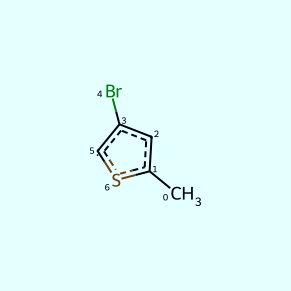 Cc1cc(Br)[c]s1